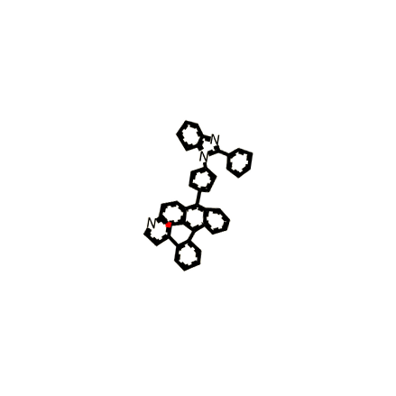 c1ccc(-c2nc3ccccc3n2-c2ccc(-c3c4ccccc4c(-c4ccccc4-c4ccncc4)c4ccccc34)cc2)cc1